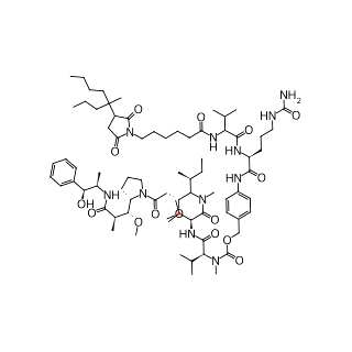 CCCCC(C)(CCC)C1CC(=O)N(CCCCCC(=O)NC(C(=O)N[C@@H](CCCNC(N)=O)C(=O)Nc2ccc(COC(=O)N(C)[C@H](C(=O)N[C@H](C(=O)N(C)C([C@@H](C)CC)[C@@H](CC(=O)N3CCC[C@H]3[C@H](OC)[C@@H](C)C(=O)N[C@H](C)[C@@H](O)c3ccccc3)OC)C(C)C)C(C)C)cc2)C(C)C)C1=O